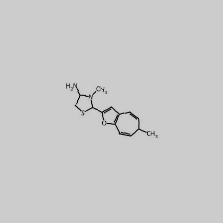 CC1C=Cc2cc(C3SCC(N)N3C)oc2C=C1